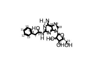 Nc1nc(N[C@H](O)Cc2ccccc2)nc2c1ncn2[C@@H]1O[C@H](CO)C(O)C1O